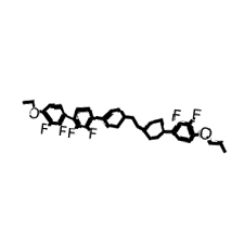 CCCOc1ccc(C2CCC(CCC3CC=C(c4ccc(-c5ccc(OCC)c(F)c5F)c(F)c4F)CC3)CC2)c(F)c1F